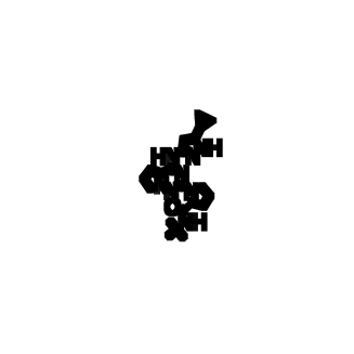 CC(C)(C)NC(=O)[C@@H]1CCCN1C1=NN2CCC=C2C(Nc2cc(C3CC3)[nH]n2)=N1